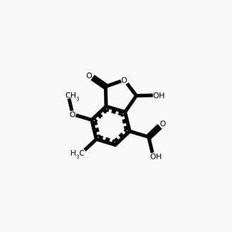 COc1c(C)cc(C(=O)O)c2c1C(=O)OC2O